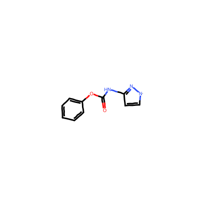 O=C(NC1=N[N]C=C1)Oc1ccccc1